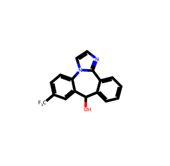 OC1c2ccccc2-c2nccn2-c2ccc(C(F)(F)F)cc21